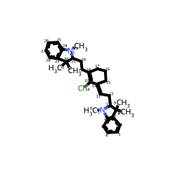 CN1c2ccccc2C(C)(C)C1CC=C1CCCC(CCC2N(C)c3ccccc3C2(C)C)=C1Cl